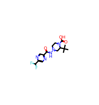 CC(C)(C)C1CN(NC(=O)c2cnc(C(F)F)cn2)CCN1C(=O)O